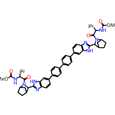 COC(=O)NC(C(=O)N1C2CCC(C2)C1c1nc2ccc(-c3ccc(-c4ccc(-c5ccc6nc(C7C8CCC(C8)N7C(=O)C(NC(=O)OC)C(C)C)[nH]c6c5)cc4)cc3)cc2[nH]1)C(C)C